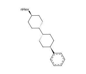 CCCCCC[C@H]1CC[C@H]([C@H]2CC[C@H](c3ccccc3)CC2)CC1